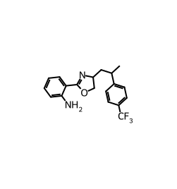 CC(CC1COC(c2ccccc2N)=N1)c1ccc(C(F)(F)F)cc1